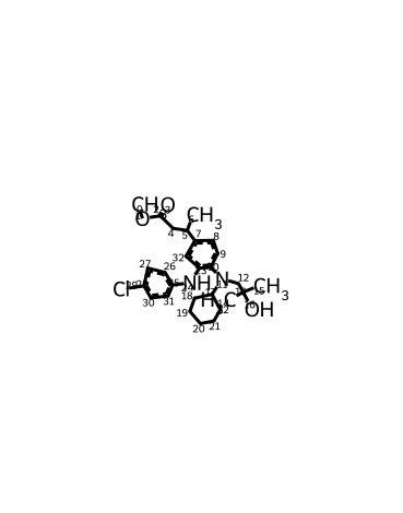 COC(=O)CC(C)c1ccc(N(CC(C)(C)O)C2CCCCC2)c(Nc2ccc(Cl)cc2)c1